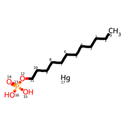 CCCCCCCCCCCCOP(=O)(O)O.[Hg]